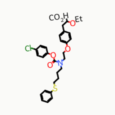 CCOC(Cc1ccc(OCCN(CCCCSc2ccccc2)C(=O)Oc2ccc(Cl)cc2)cc1)C(=O)O